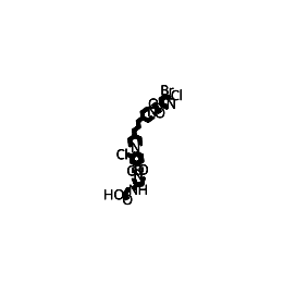 O=C(O)CNC1CCN(S(=O)(=O)c2ccc(N3CCC(CCCC4CCN(S(=O)(=O)c5cnc(Cl)c(Br)c5)CC4)CC3)c(Cl)c2)C1